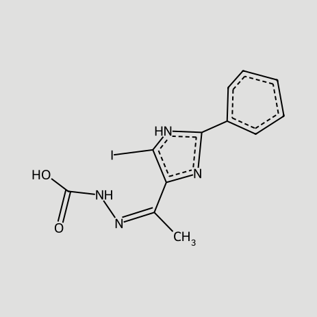 C/C(=N/NC(=O)O)c1nc(-c2ccccc2)[nH]c1I